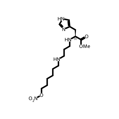 COC(=O)[C@H](Cc1c[nH]cn1)NCCCNCCCCCCO[N+](=O)[O-]